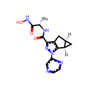 CC(C)(C)[C@H](NC(=O)c1nn(-c2cnccn2)c2c1C[C@H]1C[C@@H]21)C(=O)NO